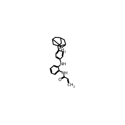 C=CC(=O)Nc1ccccc1Nc1ccc(C23CC4CC(C2)C(C)C(C4)C3)cc1